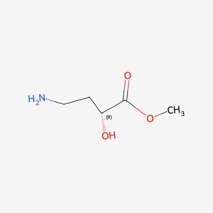 COC(=O)[C@H](O)CCN